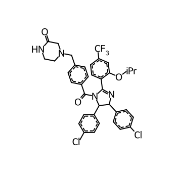 CC(C)Oc1cc(C(F)(F)F)ccc1C1=NC(c2ccc(Cl)cc2)C(c2ccc(Cl)cc2)N1C(=O)c1ccc(CN2CCNC(=O)C2)cc1